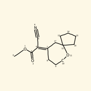 COC(=O)/C(C#N)=C1\CCCOC2(CCCC2)C1